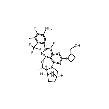 Cc1c(F)c(N)cc(-c2nc3c4c(nc(N5CCC5CO)nc4c2F)N2C[C@H]4CC[C@H](N4)[C@H]2[C@H](C)O3)c1C(F)(F)F